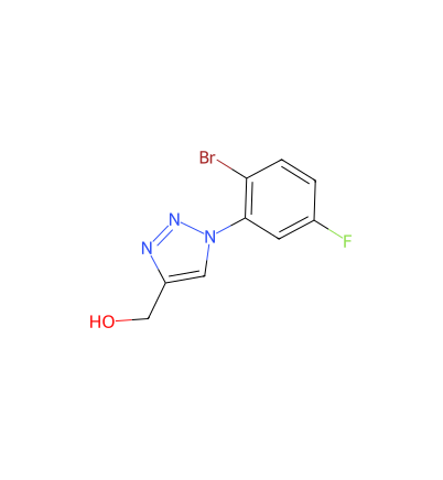 OCc1cn(-c2cc(F)ccc2Br)nn1